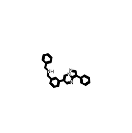 c1ccc(CNCc2cccc(-c3cnc4c(-c5ccccc5)cnn4c3)c2)cc1